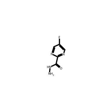 NNC(=O)c1ncc(F)cn1